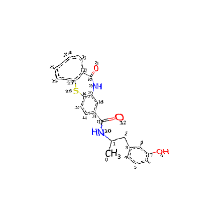 CC(Cc1cccc(O)c1)NC(=O)c1ccc2c(c1)NC(=O)c1ccccc1S2